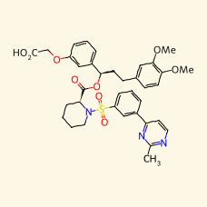 COc1ccc(CC[C@@H](OC(=O)[C@@H]2CCCCN2S(=O)(=O)c2cccc(-c3ccnc(C)n3)c2)c2cccc(OCC(=O)O)c2)cc1OC